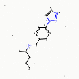 CCCC(C)NCc1ccc(-n2ccnn2)cc1